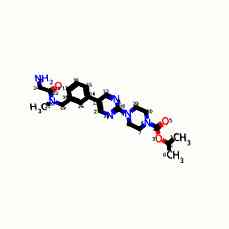 CC(C)OC(=O)N1CCN(c2ncc(-c3cccc(CN(C)C(=O)CN)c3)cn2)CC1